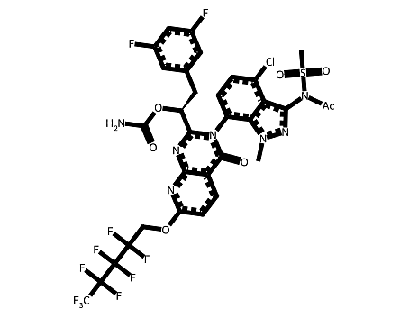 CC(=O)N(c1nn(C)c2c(-n3c([C@H](Cc4cc(F)cc(F)c4)OC(N)=O)nc4nc(OCC(F)(F)C(F)(F)C(F)(F)C(F)(F)F)ccc4c3=O)ccc(Cl)c12)S(C)(=O)=O